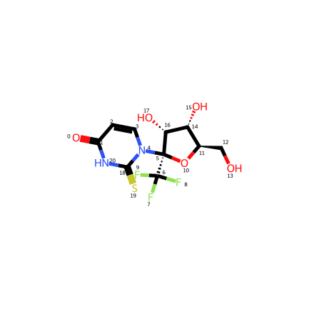 O=c1ccn([C@]2(C(F)(F)F)O[C@H](CO)[C@@H](O)[C@H]2O)c(=S)[nH]1